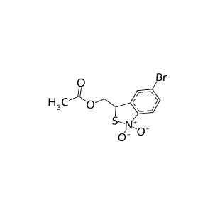 CC(=O)OCC1S[N+]([O-])([O-])c2ccc(Br)cc21